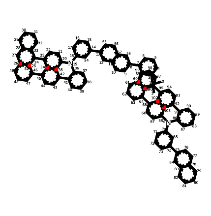 CC1(C)c2cccc(-c3ccc4cc(-c5cccc(N(c6ccc(-c7cccc8ccccc78)cc6)c6ccccc6-c6ccc(-c7ccccc7)cc6)c5)ccc4c3)c2-c2cccc(-c3ccc(N(c4cccc(-c5ccc6ccccc6c5)c4)c4ccccc4-c4ccc(-c5ccccc5)cc4)cc3)c21